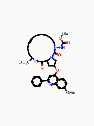 CCOC(=O)C1CCC=CCCCCCN(NC(=O)OC(C)(C)C)C(=O)[N+]2CC(Oc3cc(-c4ccccc4)nc4cc(OC)ccc34)CC2C(=O)N1